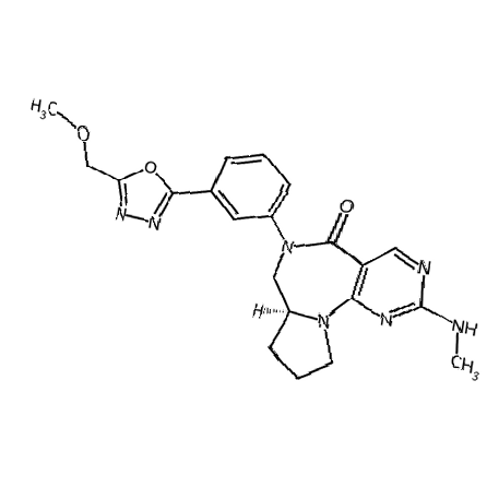 CNc1ncc2c(n1)N1CCC[C@H]1CN(c1cccc(-c3nnc(COC)o3)c1)C2=O